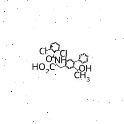 CC(O)c1cc(C[C@H](NC(=O)c2c(Cl)cccc2Cl)C(=O)O)ccc1-c1ccccc1